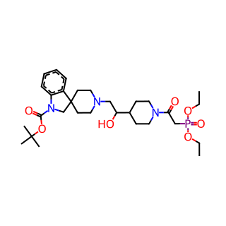 CCOP(=O)(CC(=O)N1CCC(C(O)CN2CCC3(CC2)CN(C(=O)OC(C)(C)C)c2ccccc23)CC1)OCC